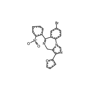 O=[N+]([O-])c1ccccc1C1=NCc2c(-c3ccco3)ncn2-c2ccc(Br)cc21